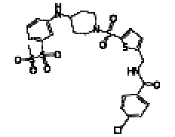 CS(=O)(=O)S(=O)(=O)c1cccc(NC2CCN(S(=O)(=O)c3ccc(CNC(=O)c4ccc(Cl)cc4)s3)CC2)c1